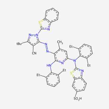 CCc1cccc(CC)c1Nc1nc(N(c2nc3ccc(S(=O)(=O)O)cc3s2)c2c(CC)cccc2CC)cc(C)c1N=Nc1c(C#N)c(C(C)(C)C)nn1-c1nc2ccccc2s1